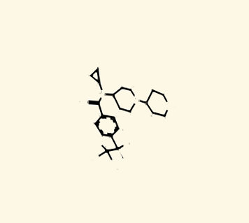 C[C@](O)(c1ccc(C(=O)N(C2CC2)C2CCN(C3CCOCC3)CC2)cc1)C(F)(F)F